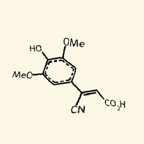 COc1cc(C(C#N)=CC(=O)O)cc(OC)c1O